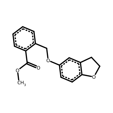 COC(=O)c1ccccc1COc1ccc2c(c1)CCO2